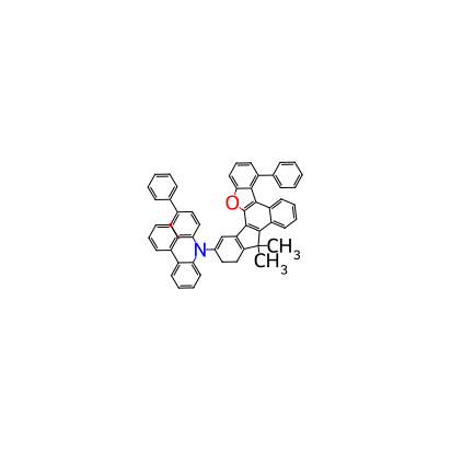 CC1(C)C2=C(C=C(N(c3ccc(-c4ccccc4)cc3)c3ccccc3-c3ccccc3)CC2)c2c1c1ccccc1c1c2oc2cccc(-c3ccccc3)c21